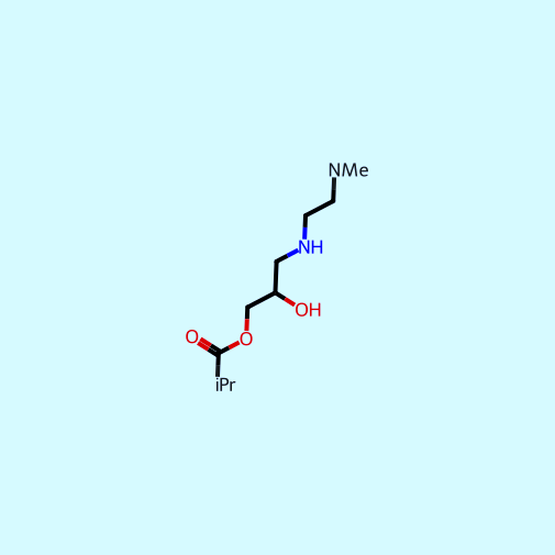 CNCCNCC(O)COC(=O)C(C)C